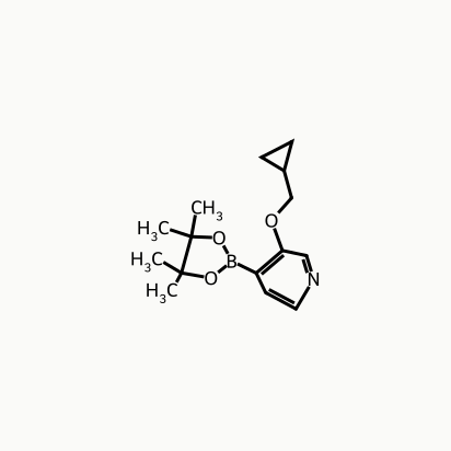 CC1(C)OB(c2ccncc2OCC2CC2)OC1(C)C